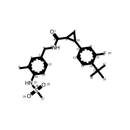 Cc1cc(CNC(=O)C2CC2c2ccc(C(C)(C)C)c(F)c2)ccc1NS(C)(=O)=O